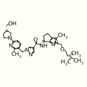 Cc1nc(N2CC[C@H](CO)C2)ccc1Cn1cc(C(=O)N[C@@H]2CCc3c2nn(COCCS(C)(C)C)c3C)cn1